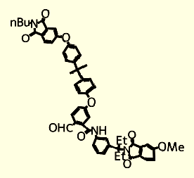 CCCCN1C(=O)c2ccc(Oc3ccc(C(C)(C)c4ccc(Oc5ccc(C=O)c(C(=O)Nc6cccc(C(CC)(CC)N7C(=O)c8ccc(OC)cc8C7=O)c6)c5)cc4)cc3)cc2C1=O